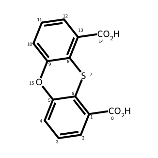 O=C(O)c1cccc2c1Sc1c(cccc1C(=O)O)O2